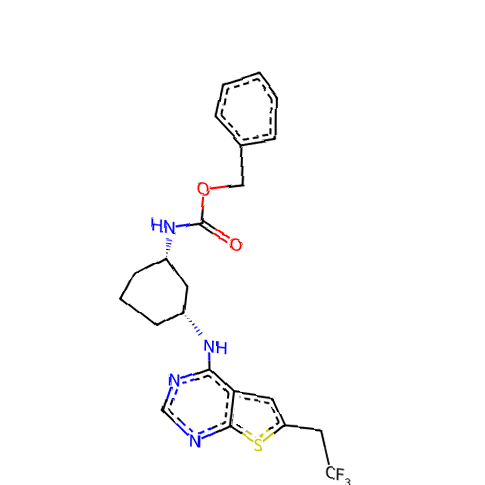 O=C(N[C@H]1CCC[C@@H](Nc2ncnc3sc(CC(F)(F)F)cc23)C1)OCc1ccccc1